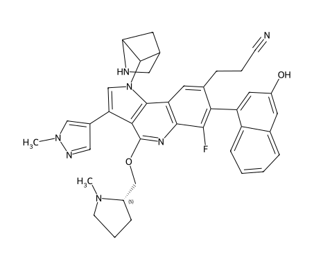 CN1CCC[C@H]1COc1nc2c(F)c(-c3cc(O)cc4ccccc34)c(CCC#N)cc2c2c1c(-c1cnn(C)c1)cn2C1C2CNC1C2